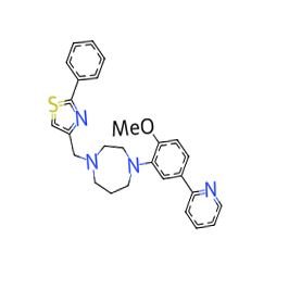 COc1ccc(-c2ccccn2)cc1N1CCCN(Cc2csc(-c3ccccc3)n2)CC1